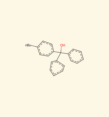 CCCCc1ccc(C(O)(c2ccccc2)c2ccccc2)cc1